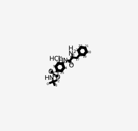 CC(C)(C)NS(=O)(=O)c1ccc(NC(=O)[C@@H](N)Cc2ccccc2)cc1.Cl